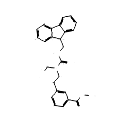 CC(C)(C)OC(=O)c1cccc(CCN(CC(=O)O)C(=O)OCC2c3ccccc3-c3ccccc32)c1